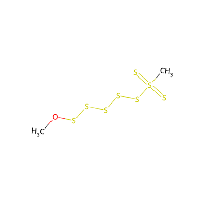 COSSSSSS(C)(=S)=S